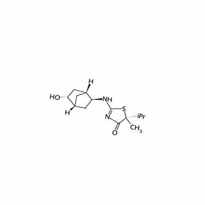 CC(C)[C@@]1(C)SC(N[C@H]2C[C@H]3C[C@@H]2C[C@H]3O)=NC1=O